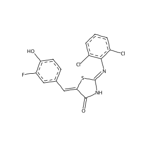 O=C1NC(=Nc2c(Cl)cccc2Cl)SC1=Cc1ccc(O)c(F)c1